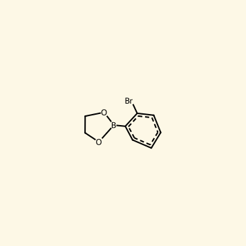 Brc1ccccc1B1OCCO1